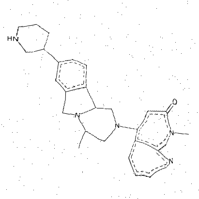 CC1CN(c2cc(=O)n(C)c3ncccc23)CC2c3ccc(C4CCCNC4)cc3CN12